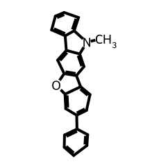 Cn1c2ccccc2c2cc3oc4cc(-c5ccccc5)ccc4c3cc21